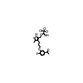 CC(=O)c1ccc(F)c(OCCCc2c(C)n[nH]c2COC(=N)C(Cl)(Cl)Cl)c1